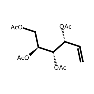 C=C[C@@H](OC(C)=O)[C@H](OC(C)=O)[C@H](COC(C)=O)OC(C)=O